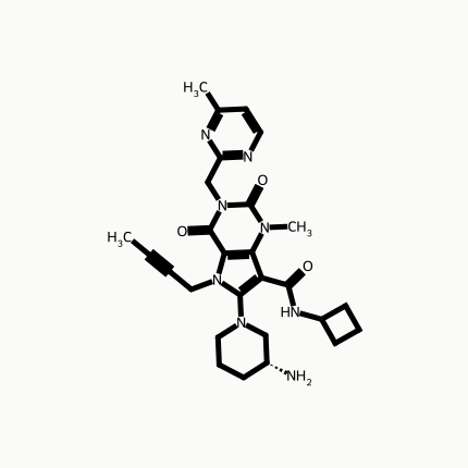 CC#CCn1c(N2CCC[C@@H](N)C2)c(C(=O)NC2CCC2)c2c1c(=O)n(Cc1nccc(C)n1)c(=O)n2C